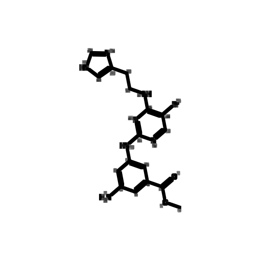 COC(=O)c1cc(N)cc(Nc2ncc(Br)c(NCCc3c[nH]cn3)n2)c1